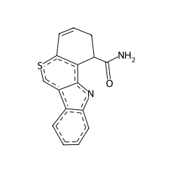 NC(=O)C1CC=Cc2scc3c4ccccc4nc-3c21